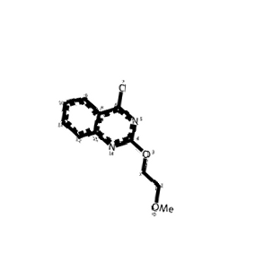 COCCOc1nc(Cl)c2ccccc2n1